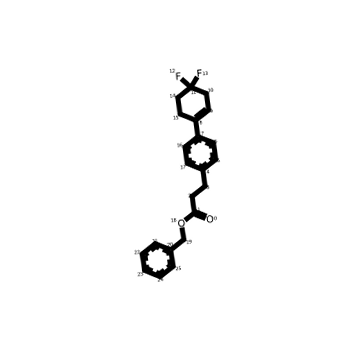 O=C([CH]Cc1ccc(C2=CCC(F)(F)CC2)cc1)OCc1ccccc1